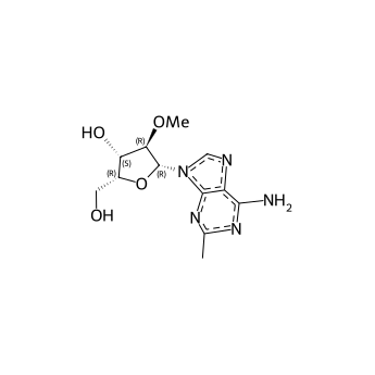 CO[C@@H]1[C@@H](O)[C@@H](CO)O[C@H]1n1cnc2c(N)nc(C)nc21